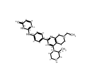 CCN1CCc2c(nc(-c3ccc(Nc4nccc(=O)[nH]4)cc3)nc2N2CCOCC2C)C1